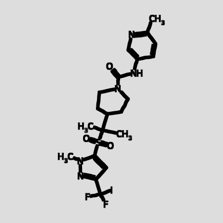 Cc1ccc(NC(=O)N2CCC(C(C)(C)S(=O)(=O)c3cc(C(F)(F)I)nn3C)CC2)cn1